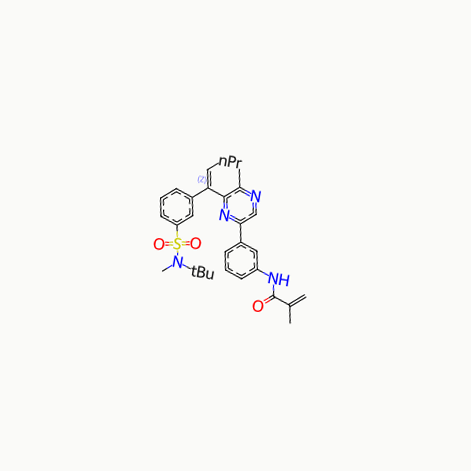 C=C(C)C(=O)Nc1cccc(-c2cnc(C)c(/C(=C\CCC)c3cccc(S(=O)(=O)N(C)C(C)(C)C)c3)n2)c1